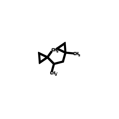 [CH2]C(CC1(C)CC1)C1(C)CC1